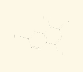 Cc1cc(=O)n(C)c2cc(O)ccc12